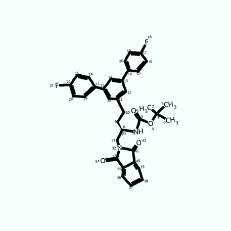 CC(C)(C)OC(=O)N[C@H](CCc1cc(-c2ccc(F)cc2)cc(-c2ccc(F)cc2)c1)CN1C(=O)c2ccccc2C1=O